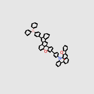 c1ccc(B(c2ccccc2)c2ccc(-c3cc4c5cccc6c5c(cc4c4ccccc34)-c3ccc(-c4ccc(N(c5ccccc5-c5ccccc5)c5cccc7c5oc5ccccc57)cc4)cc3O6)cc2)cc1